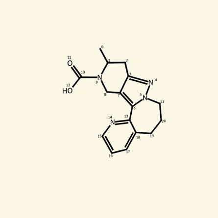 CC1Cc2nn3c(c2CN1C(=O)O)-c1ncccc1CCC3